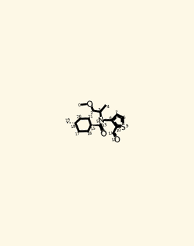 COCC(C)N(c1ccsc1C=O)C(=O)[C@H]1CC[C@H](C)CC1